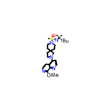 COc1nccc2c(N3CCC4(CCN(S(C)(=O)=N[Si](C)(C)C(C)(C)C)CC4)C3)ccnc12